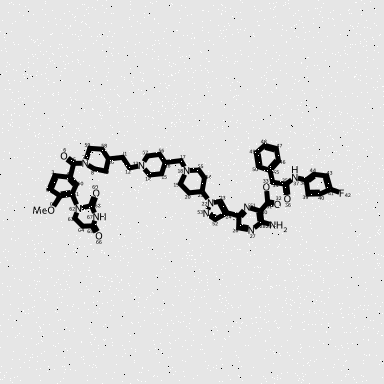 COc1ccc(C(=O)N2CCC(CCN3CCC(CN4CCC(n5cc(-c6cnc(N)c(C(=O)O[C@@H](C(=O)Nc7ccc(F)cc7)c7ccccc7)n6)cn5)CC4)CC3)CC2)cc1N1CCC(=O)NC1=O